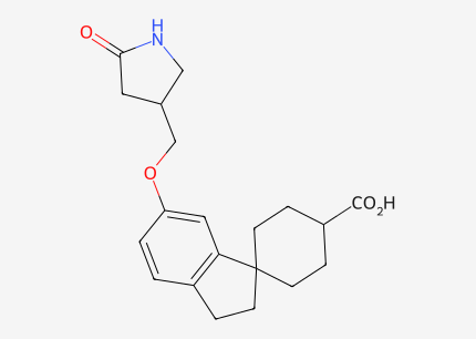 O=C1CC(COc2ccc3c(c2)C2(CC3)CCC(C(=O)O)CC2)CN1